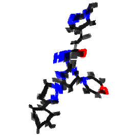 Cc1cccc(-c2ccn(-c3cc(N4CCOCC4)nc(NC(=O)C=Cc4cnn(C)c4)n3)n2)c1